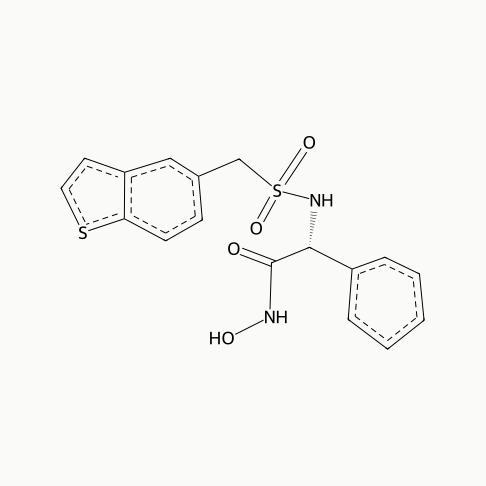 O=C(NO)[C@H](NS(=O)(=O)Cc1ccc2sccc2c1)c1ccccc1